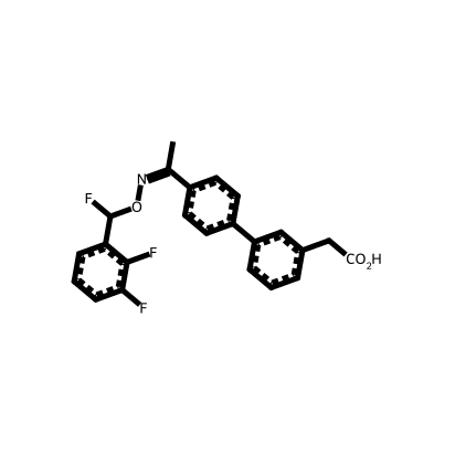 CC(=NOC(F)c1cccc(F)c1F)c1ccc(-c2cccc(CC(=O)O)c2)cc1